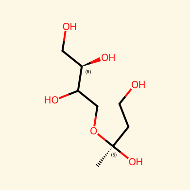 C[C@@](O)(CCO)OCC(O)[C@H](O)CO